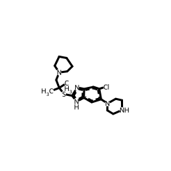 CC(C)(CN1CCCCC1)Sc1nc2cc(Cl)c(N3CCNCC3)cc2[nH]1